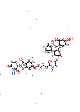 CN(CCOc1ccc([C@H]2c3ccc(O)cc3OC[C@H]2c2ccccc2)cc1)C(=O)CCCCOc1ccc2c(c1)CN(C1CCC(=O)NC1=O)C2=O